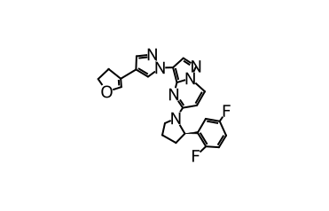 Fc1ccc(F)c([C@H]2CCCN2c2ccn3ncc(-n4cc(C5=COCC5)cn4)c3n2)c1